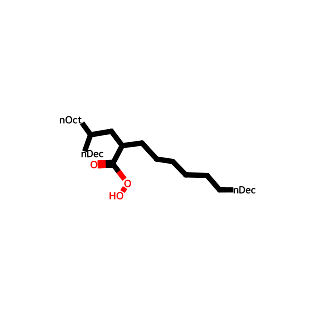 CCCCCCCCCCCCCCCCC(CC(CCCCCCCC)CCCCCCCCCC)C(=O)OO